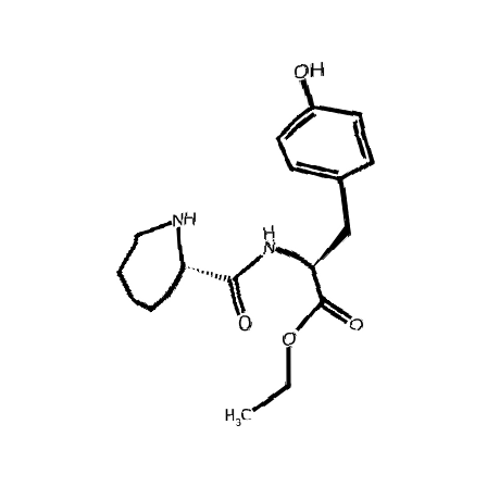 CCOC(=O)[C@H](Cc1ccc(O)cc1)NC(=O)[C@@H]1CCCN1